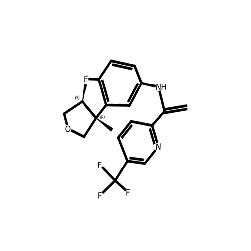 C=C(Nc1ccc(F)c([C@]2(C)COC[C@H]2C)c1)c1ccc(C(F)(F)F)cn1